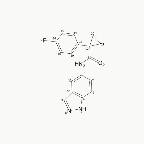 O=C(Nc1ccc2[nH]ncc2c1)C1(c2ccc(F)cc2)CC1